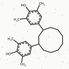 Cc1cc(C2CCCCCCCC(c3cc(C)c(O)c(C)c3)C2)cc(C)c1O